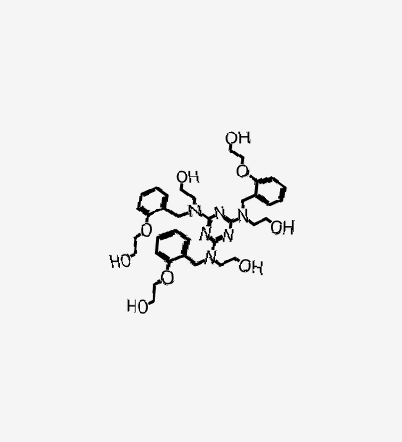 OCCOc1ccccc1CN(CCO)c1nc(N(CCO)Cc2ccccc2OCCO)nc(N(CCO)Cc2ccccc2OCCO)n1